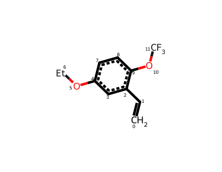 C=Cc1cc(OCC)ccc1OC(F)(F)F